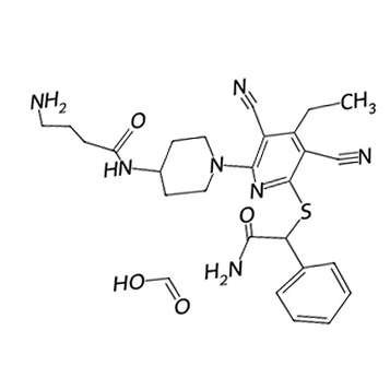 CCc1c(C#N)c(SC(C(N)=O)c2ccccc2)nc(N2CCC(NC(=O)CCCN)CC2)c1C#N.O=CO